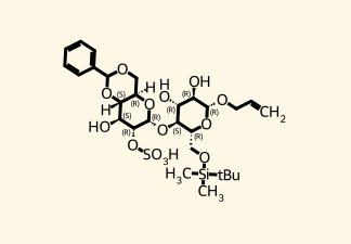 C=CCO[C@@H]1O[C@H](CO[Si](C)(C)C(C)(C)C)[C@@H](O[C@H]2O[C@@H]3COC(c4ccccc4)O[C@H]3[C@H](O)[C@H]2OS(=O)(=O)O)[C@H](O)[C@H]1O